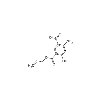 C=CCOC(=O)c1cc([N+](=O)[O-])c(N)cc1O